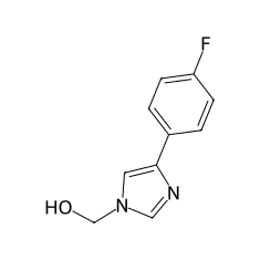 OCn1cnc(-c2ccc(F)cc2)c1